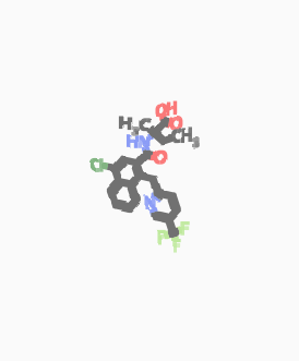 CCC(C)(NC(=O)c1cc(Cl)c2ccccc2c1Cc1ccc(C(F)(F)F)cn1)C(=O)O